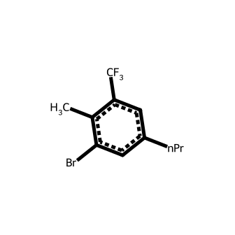 CCCc1cc(Br)c(C)c(C(F)(F)F)c1